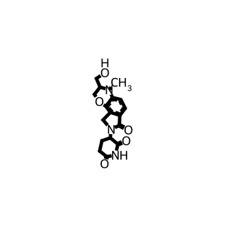 CN1c2ccc3c(c2OCC1CO)CN(C1CCC(=O)NC1=O)C3=O